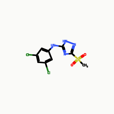 CS(=O)(=O)c1n[nH]c(Nc2cc(Cl)cc(Cl)c2)n1